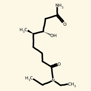 CCN(CC)C(=O)CCC[C@@H](C)[C@@H](O)CC(N)=O